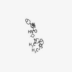 CCc1cc2c(s1)CCO[C@@]21CCN(C[C@H]2C[C@@H](NC(=O)c3cn(C4CCOCC4)nn3)C2)[C@@H](C)C1